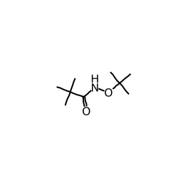 CC(C)(C)ONC(=O)C(C)(C)C